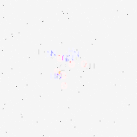 COCc1cnc(NC(=O)/C(=N/OCc2ccn(C)n2)c2ccc(S(=O)(=O)NC3CCOCC3)cc2)s1